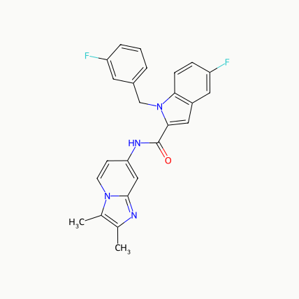 Cc1nc2cc(NC(=O)c3cc4cc(F)ccc4n3Cc3cccc(F)c3)ccn2c1C